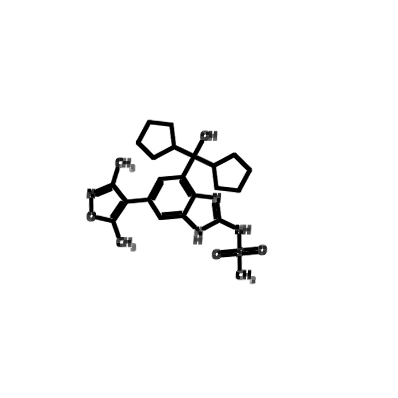 Cc1noc(C)c1-c1cc(C(O)(C2CCCC2)C2CCCC2)c2nc(NS(C)(=O)=O)[nH]c2c1